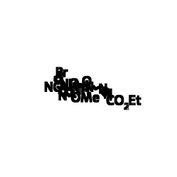 CCOC(=O)CN1CCN(CCCNC(=O)/C=C/C(=O)Nc2cc3c(Nc4cccc(Br)c4)c(C#N)cnc3cc2OC)CC1